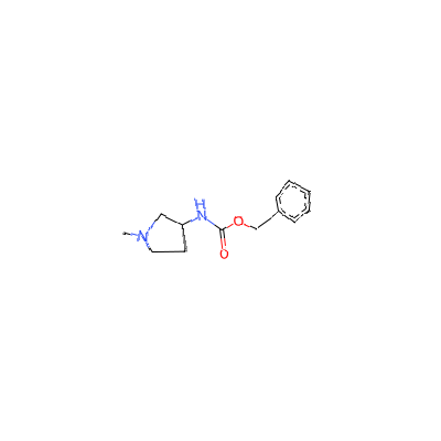 CN1CCC(NC(=O)OCc2ccccc2)C1